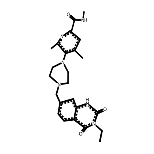 CCn1c(=O)[nH]c2cc(CN3CCN(c4c(C)cc(C(=O)NC)nc4C)CC3)ccc2c1=O